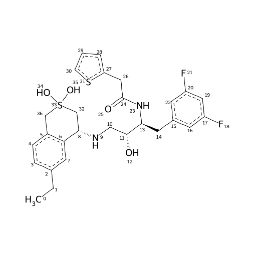 CCc1ccc2c(c1)[C@@H](NC[C@@H](O)[C@H](Cc1cc(F)cc(F)c1)NC(=O)Cc1cccs1)CS(O)(O)C2